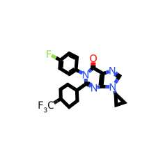 O=c1c2ncn(C3CC3)c2nc(C2CCC(C(F)(F)F)CC2)n1-c1ccc(F)cc1